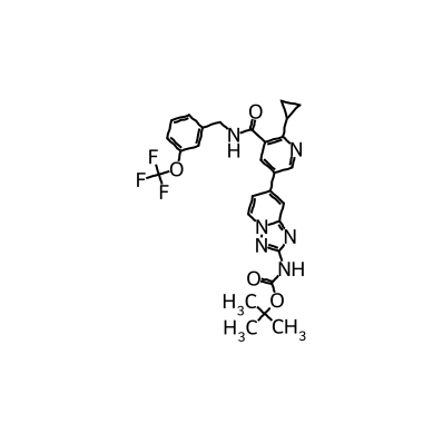 CC(C)(C)OC(=O)Nc1nc2cc(-c3cnc(C4CC4)c(C(=O)NCc4cccc(OC(F)(F)F)c4)c3)ccn2n1